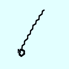 CCCCCCCCCCCCCCCCc1ccccn1